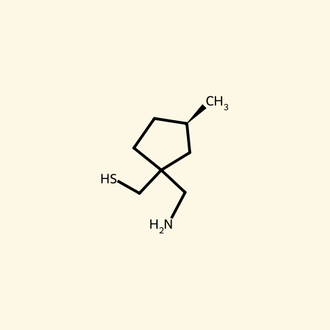 C[C@@H]1CCC(CN)(CS)C1